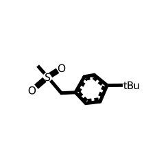 CC(C)(C)c1ccc(CS(C)(=O)=O)cc1